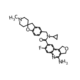 CN1CCC2(CC1)Cc1cc(CN(C(=O)c3cc4c5c(c(N)nc4cc3F)COC5)C3CC3)ccc1O2